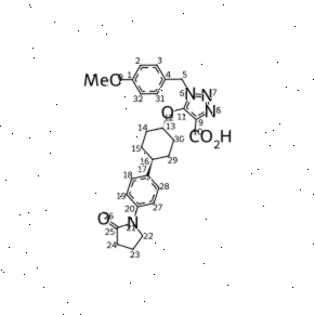 COc1ccc(Cn2nnc(C(=O)O)c2O[C@H]2CC[C@H](c3ccc(N4CCCC4=O)cc3)CC2)cc1